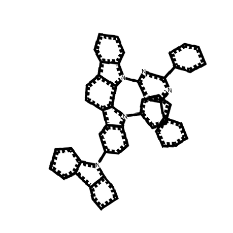 c1ccc(-c2nc(-c3ccccc3)nc(-n3c4ccccc4c4ccc5c6cc(-n7c8ccccc8c8ccccc87)ccc6n(-c6ccccc6)c5c43)n2)cc1